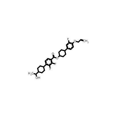 C=CCOc1ccc(C2CCC(OC(=O)c3ccc(C4CCC(C(C)O)CC4)c(F)c3F)CC2)cc1F